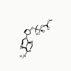 COC(=O)OP(=O)(O)C(C)(C)O[C@@H]1C=C[C@H](n2cnc3c(N)ncnc32)C1